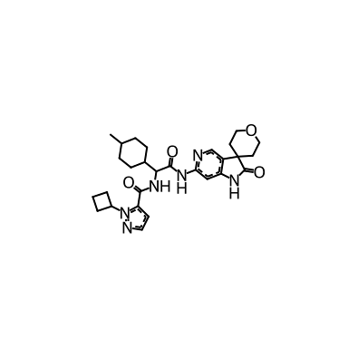 CC1CCC(C(NC(=O)c2ccnn2C2CCC2)C(=O)Nc2cc3c(cn2)C2(CCOCC2)C(=O)N3)CC1